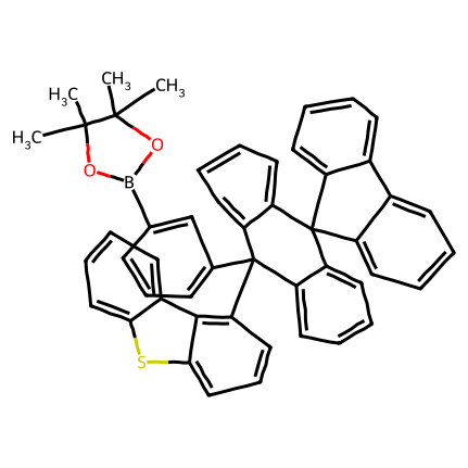 CC1(C)OB(c2cccc(C3(c4cccc5sc6ccccc6c45)c4ccccc4C4(c5ccccc5-c5ccccc54)c4ccccc43)c2)OC1(C)C